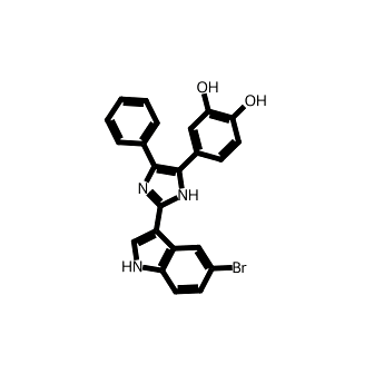 Oc1ccc(-c2[nH]c(-c3c[nH]c4ccc(Br)cc34)nc2-c2ccccc2)cc1O